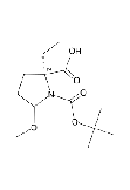 CC[C@@]1(C(=O)O)CCC(OC)N1C(=O)OC(C)(C)C